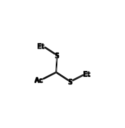 CCSC(SCC)C(C)=O